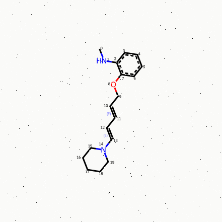 CNc1ccccc1OC/C=C/C=C/N1CCCCC1